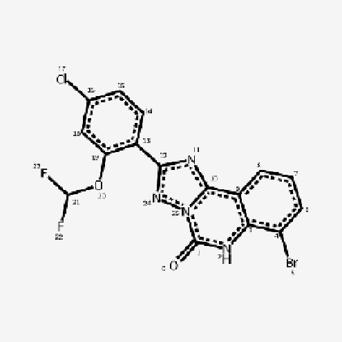 O=c1[nH]c2c(Br)cccc2c2nc(-c3ccc(Cl)cc3OC(F)F)nn12